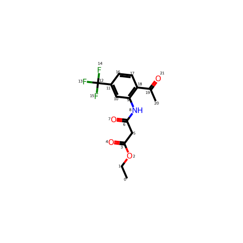 CCOC(=O)CC(=O)Nc1cc(C(F)(F)F)ccc1C(C)=O